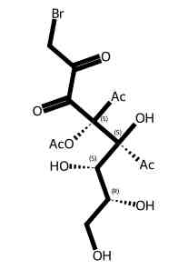 CC(=O)O[C@@](C(C)=O)(C(=O)C(=O)CBr)[C@](O)(C(C)=O)[C@@H](O)[C@H](O)CO